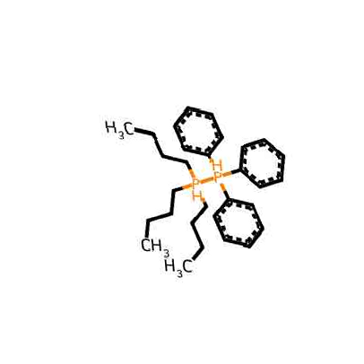 CCCC[PH](CCCC)(CCCC)[PH](c1ccccc1)(c1ccccc1)c1ccccc1